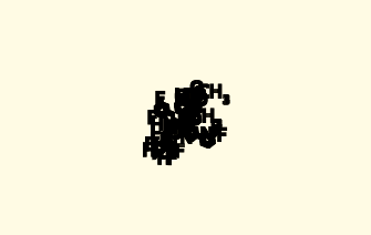 Cn1nc(NS(C)(=O)=O)c2c(Cl)ccc(-n3c([C@H](Cc4cc(F)cc(F)c4)NC(=O)Cn4nc(C(F)F)c5c4C(F)(F)[C@@H]4C[C@H]54)nc4ncc(-c5cccc(C(F)F)n5)cc4c3=O)c21